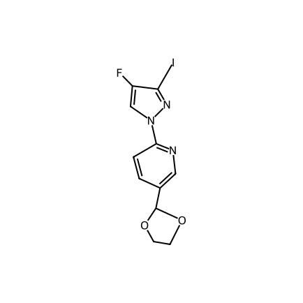 Fc1cn(-c2ccc(C3OCCO3)cn2)nc1I